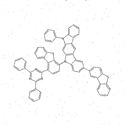 c1ccc(-c2nc(-c3ccccc3)nc(-c3ccc(-n4c5ccc(-c6ccc7sc8ccccc8c7c6)cc5c5cc6c7ccccc7n(-c7ccccc7)c6cc54)c4sc5ccccc5c34)n2)cc1